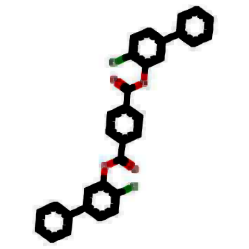 O=C(Oc1cc(-c2ccccc2)ccc1Cl)c1ccc(C(=O)Oc2cc(-c3ccccc3)ccc2Cl)cc1